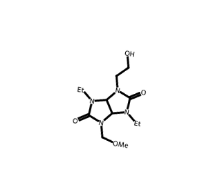 CCN1C(=O)N(COC)C2C1N(CCO)C(=O)N2CC